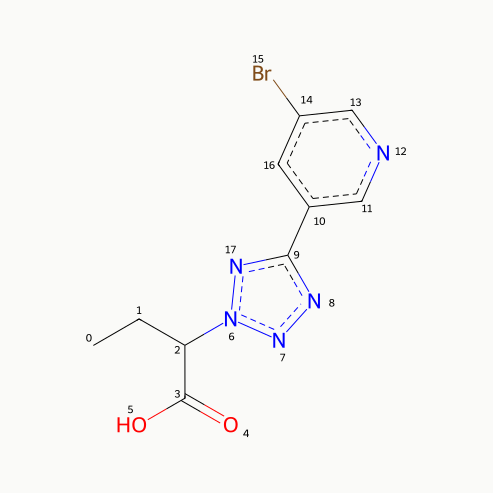 CCC(C(=O)O)n1nnc(-c2cncc(Br)c2)n1